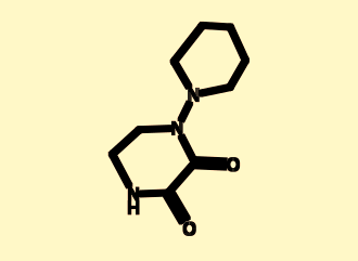 O=C1NCCN(N2CCCCC2)C1=O